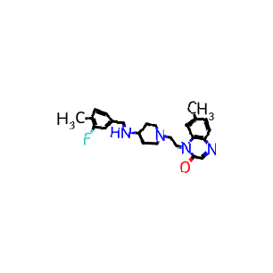 Cc1ccc2ncc(=O)n(CCN3CCC(NCc4ccc(C)c(F)c4)CC3)c2c1